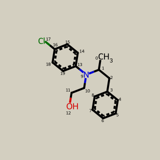 CC(Cc1ccccc1)N(CCO)c1ccc(Cl)cc1